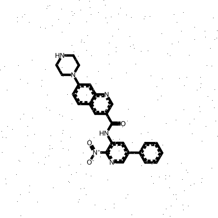 O=C(Nc1cc(-c2ccccc2)cnc1[N+](=O)[O-])c1cnc2cc(N3CCNCC3)ccc2c1